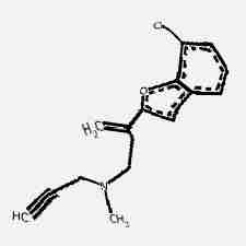 C#CCN(C)CC(=C)c1cc2cccc(Cl)c2o1